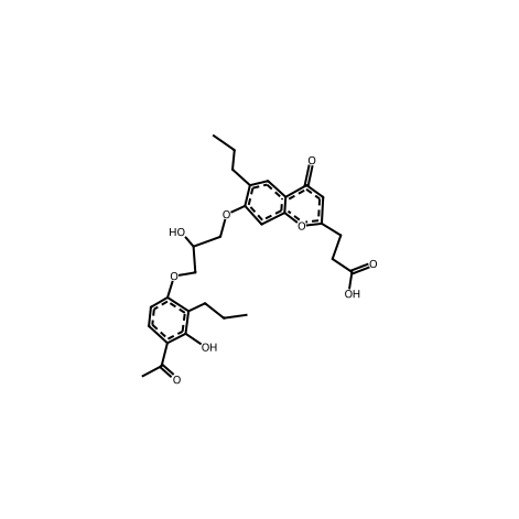 CCCc1cc2c(=O)cc(CCC(=O)O)oc2cc1OCC(O)COc1ccc(C(C)=O)c(O)c1CCC